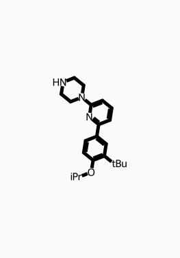 CC(C)Oc1ccc(-c2cccc(N3CCNCC3)n2)cc1C(C)(C)C